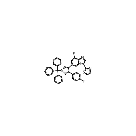 Fc1ccc(-c2nn(C(c3ccccc3)(c3ccccc3)c3ccccc3)cc2-c2cc(F)c3ncc(-c4nccs4)n3c2)cc1